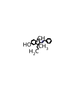 C=CCC1(C)C(/C=C/c2ccccc2)=[N+](C)c2ccc(O)cc21